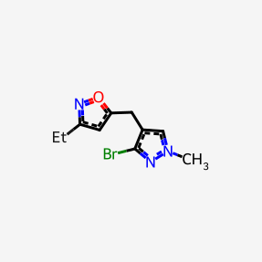 CCc1cc(Cc2cn(C)nc2Br)on1